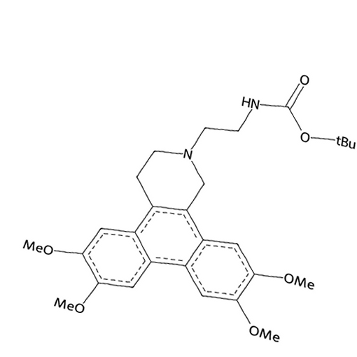 COc1cc2c3c(c4cc(OC)c(OC)cc4c2cc1OC)CN(CCNC(=O)OC(C)(C)C)CC3